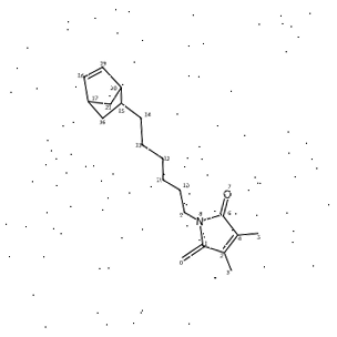 C=C1C(C)=C(C)C(=O)N1CCCCCCC1CC2C=CC1C2